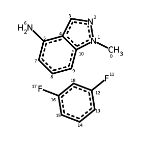 Cn1ncc2c(N)cccc21.Fc1cccc(F)c1